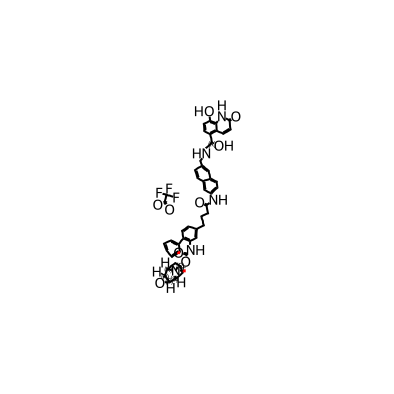 C[N+]1(C)[C@@H]2C[C@@H](OC(=O)Nc3cc(CCCC(=O)Nc4ccc5cc(CNC[C@H](O)c6ccc(O)c7[nH]c(=O)ccc67)ccc5c4)ccc3-c3ccccc3)C[C@H]1[C@@H]1O[C@@H]12.O=C([O-])C(F)(F)F